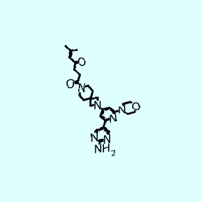 CC(C)=CC(=O)CCC(=O)N1CCC2(CC1)CN(c1cc(-c3cnc(N)nc3)nc(N3CCOCC3)c1)C2